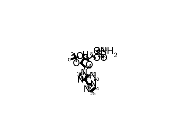 CC1(C)OC2[C@@H](O1)[C@@H](COS(N)(=O)=O)O[C@H]2n1cnc2c1ncn1ccnc21